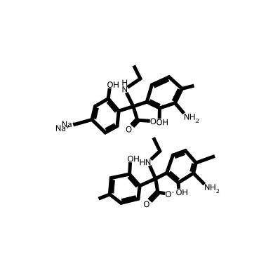 CCNC(C(=O)[O-])(c1ccc(C)cc1O)c1ccc(C)c(N)c1O.CCNC(C(=O)[O-])(c1ccc(C)cc1O)c1ccc(C)c(N)c1O.[Na+].[Na+]